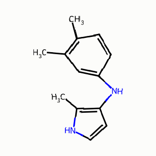 Cc1ccc(Nc2cc[nH]c2C)cc1C